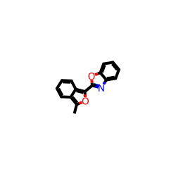 Cc1oc(-c2nc3ccccc3o2)c2ccccc12